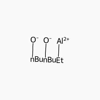 CCCC[O-].CCCC[O-].C[CH2][Al+2]